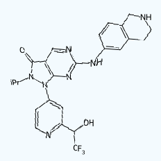 CC(C)n1c(=O)c2cnc(Nc3ccc4c(c3)CCNC4)nc2n1-c1ccnc(C(O)C(F)(F)F)c1